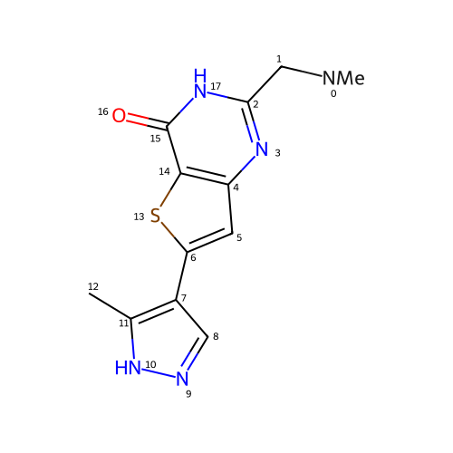 CNCc1nc2cc(-c3cn[nH]c3C)sc2c(=O)[nH]1